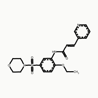 CCOc1ccc(S(=O)(=O)N2CCOCC2)cc1NC(=O)/C=C/c1cccnc1